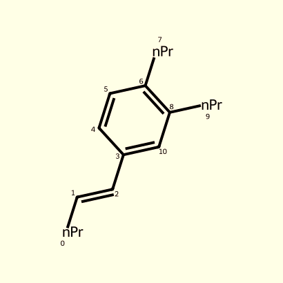 CCCC=Cc1ccc(CCC)c(CCC)c1